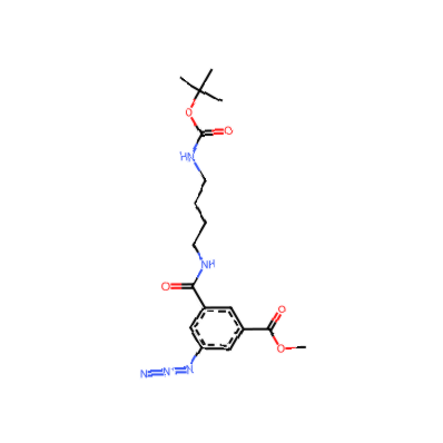 COC(=O)c1cc(N=[N+]=[N-])cc(C(=O)NCCCCNC(=O)OC(C)(C)C)c1